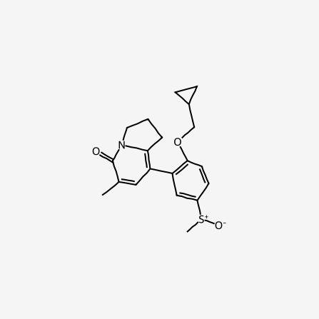 Cc1cc(-c2cc([S+](C)[O-])ccc2OCC2CC2)c2n(c1=O)CCC2